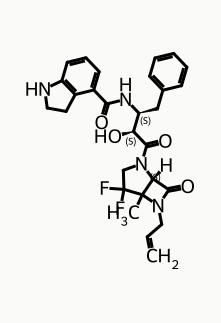 C=CCN1C(=O)[C@H]2N(C(=O)[C@@H](O)[C@H](Cc3ccccc3)NC(=O)c3cccc4c3CCN4)CC(F)(F)C21C